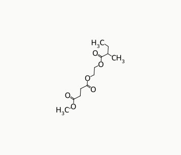 CCC(C)C(=O)OCCOC(=O)CCC(=O)OC